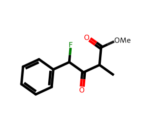 COC(=O)C(C)C(=O)C(F)c1ccccc1